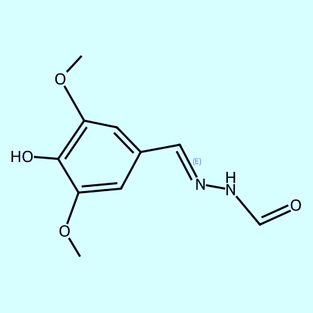 COc1cc(/C=N/NC=O)cc(OC)c1O